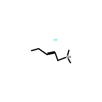 CCC=CC[SiH](C)C.F